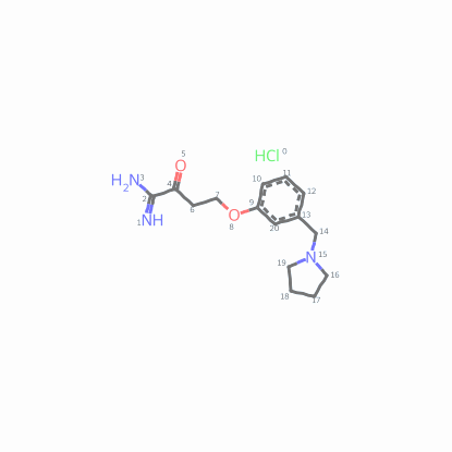 Cl.N=C(N)C(=O)CCOc1cccc(CN2CCCC2)c1